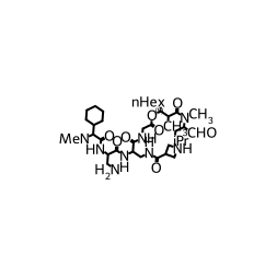 CCCCCC[C@H](OC(=O)CNC(=O)C(CNC(=O)C1CNC1)NC(=O)C(CN)NC(=O)C(NC)C1CCCCC1)C(C)C(=O)N(C)C(C=O)CC(C)C